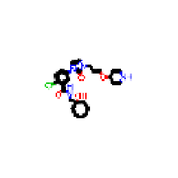 O=C(NCC1(O)CCCCCC1)c1cc(-n2ccn(CCCOC3CCNCC3)c2=O)ccc1Cl